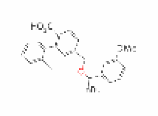 CCCCC(OCc1ccc(C(=O)O)c(-c2ccccc2C)c1)c1cccc(OC)c1